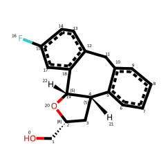 OC[C@H]1C[C@H]2c3ccccc3Cc3ccc(F)cc3[C@H]2O1